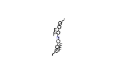 C=CCCOc1ccc(C2CCC(/C=C/c3ccc(-c4ccc(OCCCC)cc4)c(F)c3F)CC2)c(F)c1F